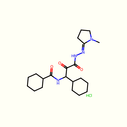 CN1CCCC1=NNC(=O)C(=O)C(NC(=O)C1CCCCC1)C1CCCCC1.Cl